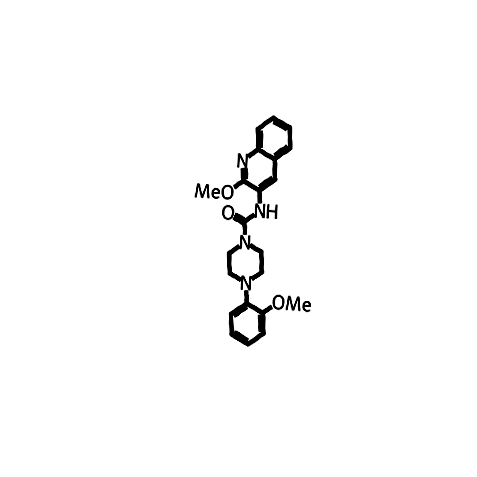 COc1ccccc1N1CCN(C(=O)Nc2cc3ccccc3nc2OC)CC1